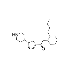 CCCCC1CCCCC1CC(=O)C1=CSC(C2CCNCC2)C1